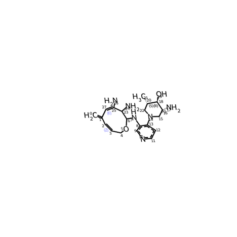 C=C1/C=C\COC(Nc2cnccc2N2C[C@@H](N)[C@H](O)[C@@H](C)C2)C(N)/C(N)=C\1